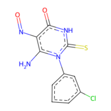 Nc1c(N=O)c(=O)[nH]c(=S)n1-c1cccc(Cl)c1